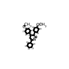 COc1ccc(-c2cc(-c3ccccc3)nnc2-c2ccc(OC)cc2)cc1